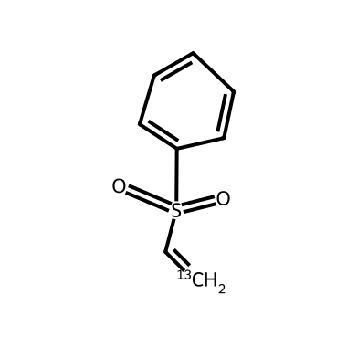 [13CH2]=CS(=O)(=O)c1ccccc1